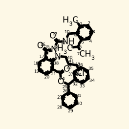 Cc1cccc(C(C)C)c1CNC(=O)n1c(=O)c2cccc(C(=O)OC(c3ccccc3)c3ccccc3)c2n1CCCCl